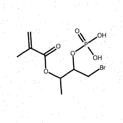 C=C(C)C(=O)OC(C)C(CBr)OP(=O)(O)O